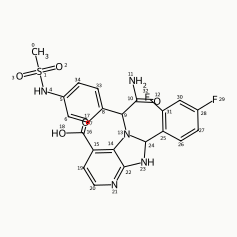 CS(=O)(=O)Nc1ccc(C(C(N)=O)N2c3c(C(=O)O)ccnc3NC2c2ccc(F)cc2F)cc1